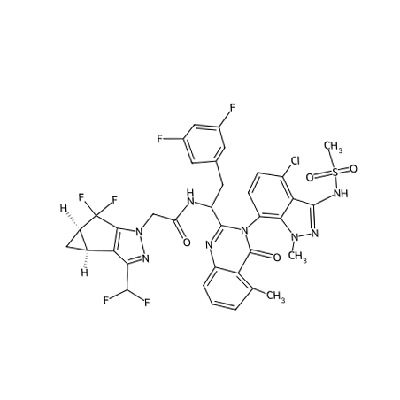 Cc1cccc2nc(C(Cc3cc(F)cc(F)c3)NC(=O)Cn3nc(C(F)F)c4c3C(F)(F)[C@@H]3C[C@H]43)n(-c3ccc(Cl)c4c(NS(C)(=O)=O)nn(C)c34)c(=O)c12